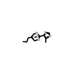 CCCC12COC(c3ncoc3C)(OC1)OC2